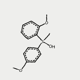 COc1ccc(S(C)(O)c2ccccc2OC)cc1